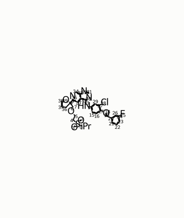 CC(C)S(=O)(=O)CCOCC1(c2cc3c(Nc4ccc(OCc5cccc(F)c5)c(Cl)c4)ncnc3cn2)CC=CO1